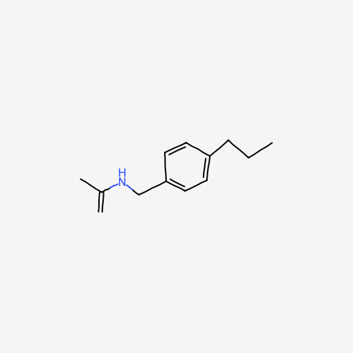 C=C(C)NCc1ccc(CCC)cc1